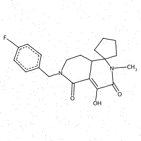 CN1C(=O)C(O)=C2C(=O)N(Cc3ccc(F)cc3)CCC2C12CCCC2